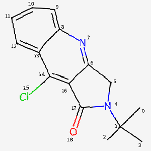 CC(C)(C)N1Cc2nc3ccccc3c(Cl)c2C1=O